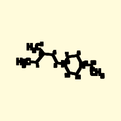 CCC(C)CCN1CCN(CC)CC1